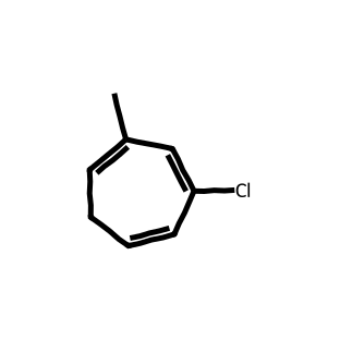 CC1=CCC=CC(Cl)=C1